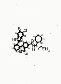 CCC[C@H](NC(=O)c1ccc(-c2c(Cl)cccc2-c2nc3cc(Cl)c(F)cc3[nH]2)c(C(=O)O)c1)C1CCCCCC1